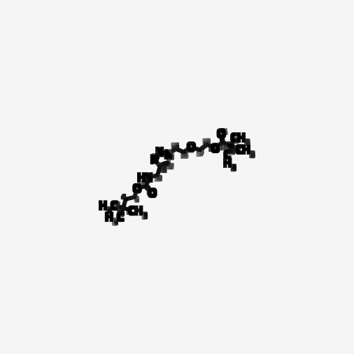 CC(C)(C)CCOC(=O)NCc1cn(CCOCCOC(=O)C(C)(C)C)nn1